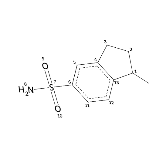 CC1CCc2cc(S(N)(=O)=O)ccc21